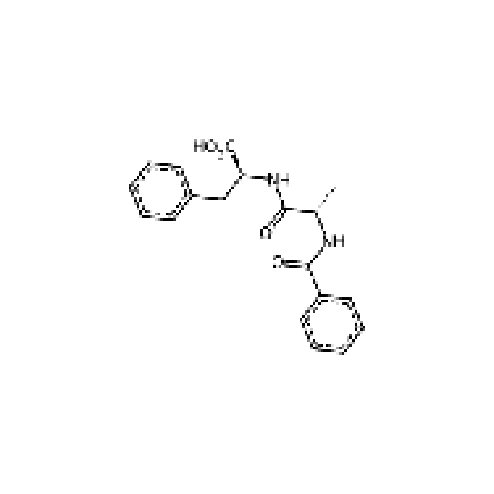 C[C@H](NC(=O)c1ccccc1)C(=O)N[C@@H](Cc1ccccc1)C(=O)O